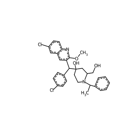 COc1nc2ccc(Cl)cc2cc1C(c1ccc(Cl)cc1)C1(O)CCN(C(C)c2ccccc2)C(CO)C1